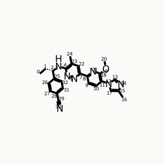 CC[C@H](Nc1nnc(-c2ccc(-n3cnc(C)c3)c(OC)n2)cc1C)c1ccc(C#N)cc1